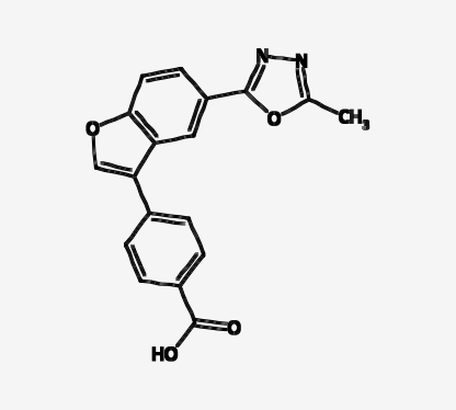 Cc1nnc(-c2ccc3occ(-c4ccc(C(=O)O)cc4)c3c2)o1